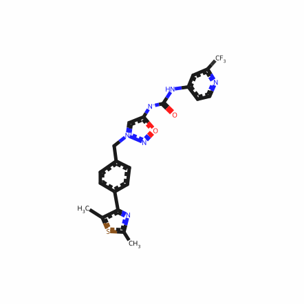 Cc1nc(-c2ccc(C[n+]3cc([N-]C(=O)Nc4ccnc(C(F)(F)F)c4)on3)cc2)c(C)s1